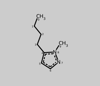 CCCCc1ccnn1C